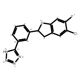 Fc1cc2c(cc1Cl)CC(c1cccc(-c3nnn[nH]3)c1)O2